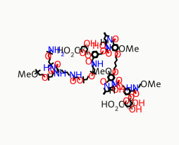 C=C1C[C@H]2C(O)N(C(=O)OCc3ccc(O[C@H]4C[C@@H](O)C[C@@H](C(=O)O)O4)c(C(=O)NCCC(C)(C)OCCC(C)(C)OCC(=O)NCCCC[C@H](NC(=O)CC(C)(C)OCCC(C)(C)OC)C(=O)NC(C)(C)CCOC(C)(C)N)c3)c3cc(OCCCCCOc4cc5c(cc4OC)C(=O)N4CC(=C)C[C@H]4C(O)N5C(=O)OCc4ccc(O[C@@H]5O[C@H](C(=O)O)C[C@H](O)[C@H]5O)c(C(=O)NCCOC)c4)c(OC)cc3C(=O)N2C1